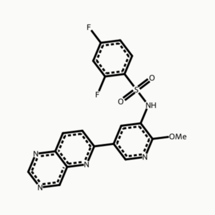 COc1ncc(-c2ccc3ncncc3n2)cc1NS(=O)(=O)c1ccc(F)cc1F